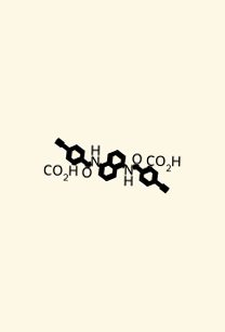 C#Cc1ccc(C(=O)Nc2cccc3c(NC(=O)c4ccc(C#C)cc4C(=O)O)cccc23)c(C(=O)O)c1